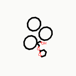 C1CCCCCCCCCCC1.C1CCCCCCCCCCC1.OCC1(COC2CCCCO2)CCCCCCCCCCC1